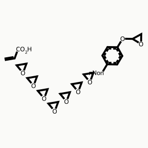 C1CO1.C1CO1.C1CO1.C1CO1.C1CO1.C1CO1.C1CO1.C=CC(=O)O.CCCCCCCCCc1ccc(OC2CO2)cc1